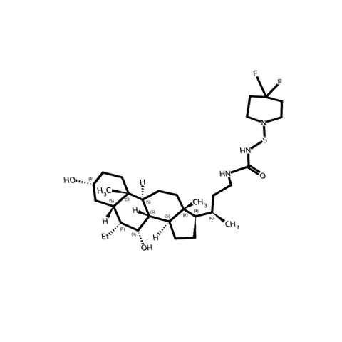 CC[C@H]1[C@@H](O)[C@@H]2[C@H](CC[C@]3(C)[C@@H]([C@H](C)CCNC(=O)NSN4CCC(F)(F)CC4)CC[C@@H]23)[C@@]2(C)CC[C@@H](O)C[C@@H]12